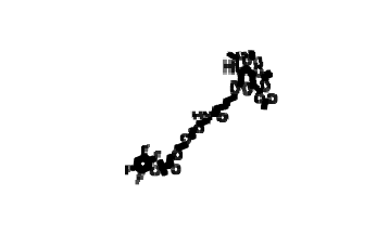 CC(=O)OC[C@H]1O[C@@H](OCCCCC(=O)NCCOCCOCCOCC(=O)C(C)(C)Oc2c(F)c(F)cc(F)c2F)[C@H](NC(C)O)[C@@H](OC(C)=O)[C@H]1OC(C)=O